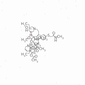 CC[C@]1(O)C[C@H]2CN(CCc3c([nH]c4ccc(SCC(=O)NC)cc34)[C@@](C(=O)OC)(C3C=C4C(=CC3OC)N(C)[C@@]35O[C@]3(C(=O)OC)[C@H](OC(C)=O)[C@]3(CC)C=CCN6CC[C@]45[C@@H]63)C2)C1